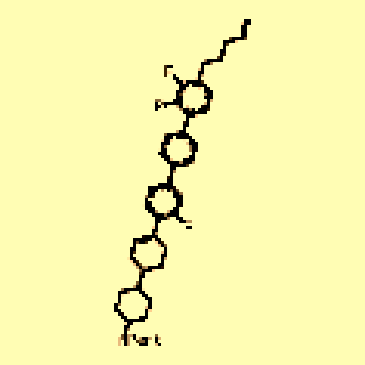 C=CCCCc1ccc(-c2ccc(-c3ccc(C4=CCC(C5CCC(CCCCC)CC5)CC4)c(F)c3)cc2)c(F)c1F